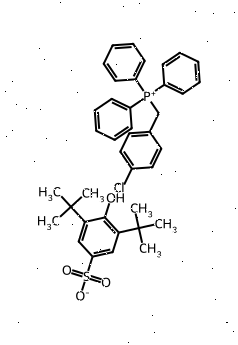 CC(C)(C)c1cc(S(=O)(=O)[O-])cc(C(C)(C)C)c1O.Clc1ccc(C[P+](c2ccccc2)(c2ccccc2)c2ccccc2)cc1